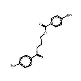 CC(C)(C)c1ccc(C(=O)OCCOC(=O)c2ccc(C(C)(C)C)cc2)cc1